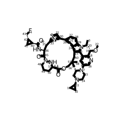 CCn1c(-c2cc(N3CCN(C4CC4)CC3)cnc2[C@H](C)OC)c2c3cc(ccc31)-c1csc(n1)C[C@H](NC(=O)[C@H]1C[C@@H]1CF)C(=O)N1CCC[C@H](N1)C(=O)OCC(C)(C)C2